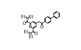 CCN(CC)C(=O)c1cc(CC(=O)c2ccc(-c3ccccc3)cc2)cc(C(=O)N(CC)CC)n1